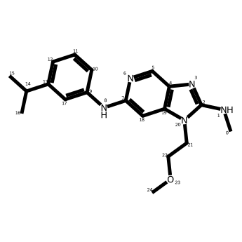 CNc1nc2cnc(Nc3cccc(C(C)C)c3)cc2n1CCOC